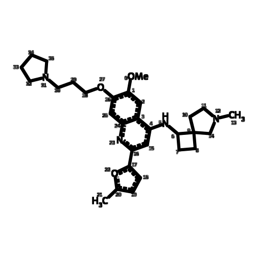 COc1cc2c(NC3CCC34CCN(C)C4)cc(-c3ccc(C)o3)nc2cc1OCCCN1CCCC1